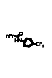 CCCC(=O)Nc1ccc(C(F)(F)F)cc1